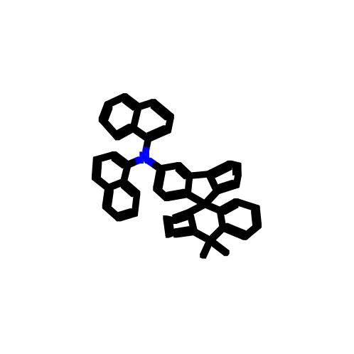 CC1(C)c2ccccc2C2(c3ccccc3-c3cc(N(c4cccc5ccccc45)c4cccc5ccccc45)ccc32)c2ccccc21